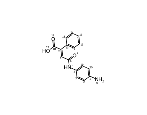 Nc1ccc(NC(=O)/C=C(/C(=O)O)c2ccccc2)cc1